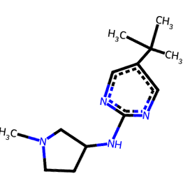 CN1CCC(Nc2ncc(C(C)(C)C)cn2)C1